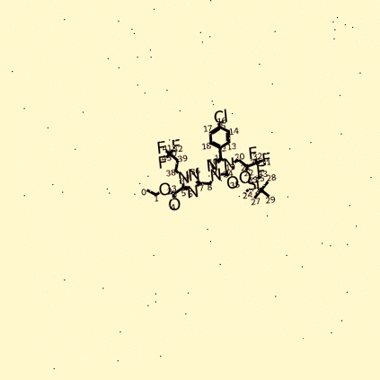 CCOC(=O)c1nc(Cn2nc(-c3ccc(Cl)cc3)n(CC(O[Si](C)(C)C(C)(C)C)C(F)(F)F)c2=O)nn1CCC(F)(F)F